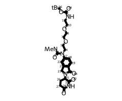 CNC(=O)N(CCOCCOCCNC(=O)OC(C)(C)C)c1ccc2c(c1)CN(C1CCC(=O)NC1=O)C2=O